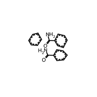 NC(=O)c1ccccc1.NC(=O)c1ccccc1.c1ccccc1